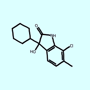 Cc1ccc2c(c1Cl)NC(=O)C2(O)C1CCCCC1